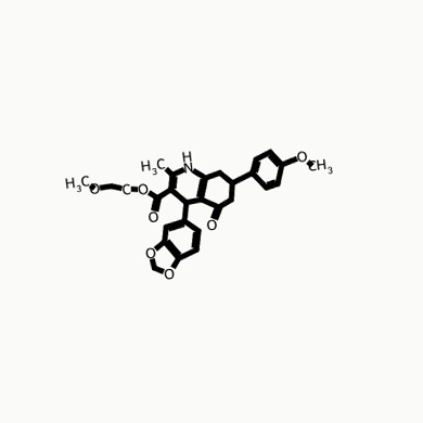 COCCOC(=O)C1=C(C)NC2=C(C(=O)CC(c3ccc(OC)cc3)C2)C1c1ccc2c(c1)OCO2